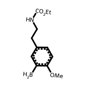 Bc1cc(CCNC(=O)OCC)ccc1OC